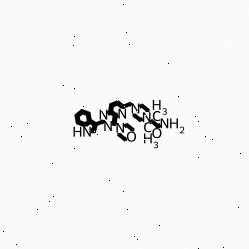 CC(C)(C(N)=O)N1CCN(Cc2ccc3nc(-c4c[nH]c5ccccc45)nc(N4CCOCC4)c3n2)CC1